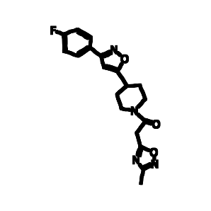 Cc1noc(CC(=O)N2CCC(c3cc(-c4ccc(F)cc4)no3)CC2)n1